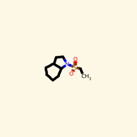 CCS(=O)(=O)N1CCC2CCCCC21